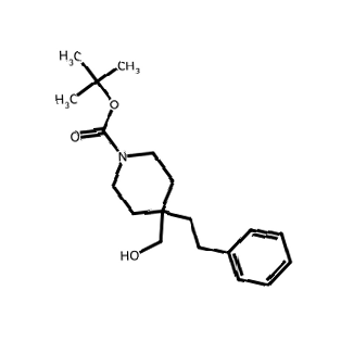 CC(C)(C)OC(=O)N1CCC(CO)(CCc2ccccc2)CC1